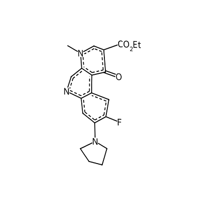 CCOC(=O)c1cn(C)c2cnc3cc(N4CCCC4)c(F)cc3c2c1=O